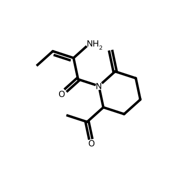 C=C1CCCC(C(C)=O)N1C(=O)/C(N)=C\C